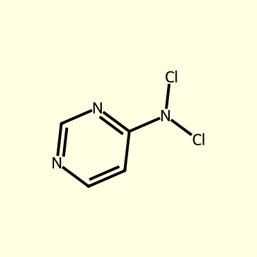 ClN(Cl)c1ccncn1